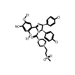 CCOc1cc(C2=N[C@@H](c3ccc(Cl)cc3)[C@@H](c3ccc(Cl)cc3)N2C(=O)N2CCN(CCS(C)(=O)=O)CC2)c(OCC)cc1C#N